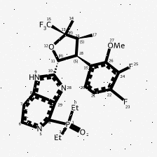 CCP(=O)(CC)c1nccc2[nH]c([C@@H]3O[C@@](C)(C(F)(F)F)[C@@H](C)[C@H]3c3ccc(F)c(F)c3OC)nc12